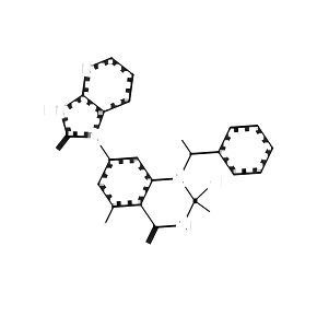 CC(c1ccccc1)N1c2cc(-n3c(=O)[nH]c4ncccc43)cc(F)c2C(=O)NC1(C)C